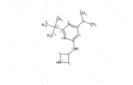 CC(C)c1cc(NC2CNC2)nc(C(C)(C)C)n1